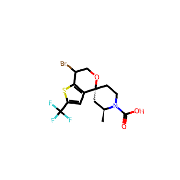 C[C@H]1C[C@@]2(CCN1C(=O)O)OCC(Br)c1sc(C(F)(F)F)cc12